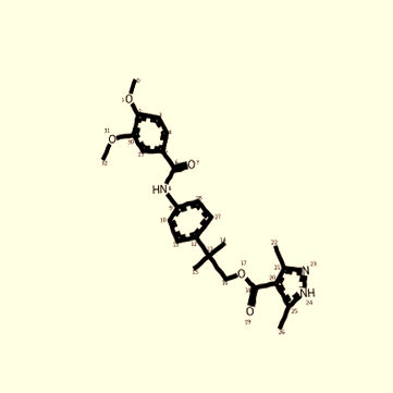 COc1ccc(C(=O)Nc2ccc(C(C)(C)COC(=O)c3c(C)n[nH]c3C)cc2)cc1OC